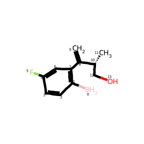 Bc1ccc(F)cc1C(=C)[C@H](C)CO